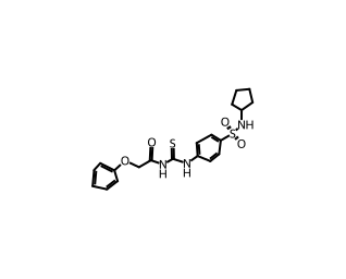 O=C(COc1ccccc1)NC(=S)Nc1ccc(S(=O)(=O)NC2CCCC2)cc1